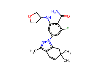 Cc1nn(-c2cc(F)c(C(N)=O)c(NC3CCOC3)c2)c2c1C=CC(C)(C)C2